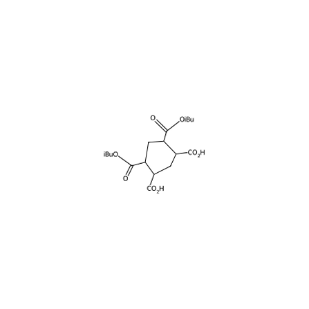 CC(C)COC(=O)C1CC(C(=O)OCC(C)C)C(C(=O)O)CC1C(=O)O